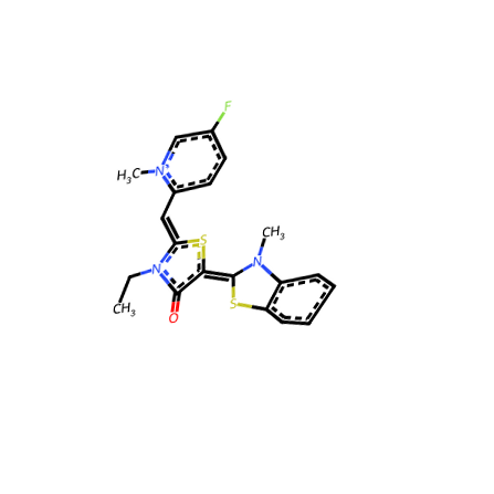 CCn1c(=O)/c(=C2\Sc3ccccc3N2C)s/c1=C\c1ccc(F)c[n+]1C